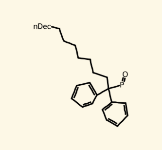 CCCCCCCCCCCCCCCCCC(P=O)(c1ccccc1)c1ccccc1